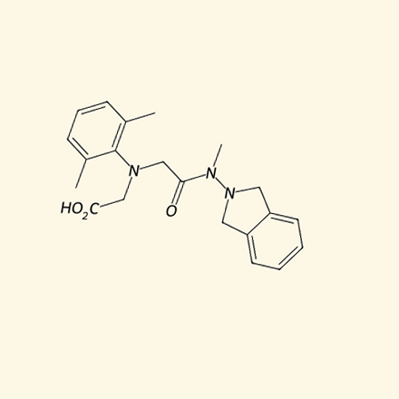 Cc1cccc(C)c1N(CC(=O)O)CC(=O)N(C)N1Cc2ccccc2C1